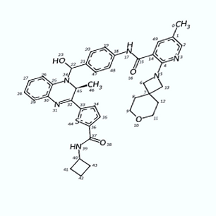 Cc1cnc(N2CC3(CCOCC3)C2)c(C(=O)Nc2ccc(C(O)N3c4ccccc4N=C(c4ccc(C(=O)NC5CCC5)s4)[C@@H]3C)cc2)c1